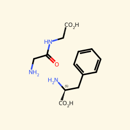 NCC(=O)NCC(=O)O.N[C@@H](Cc1ccccc1)C(=O)O